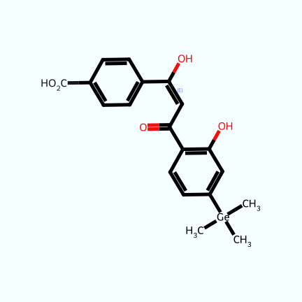 [CH3][Ge]([CH3])([CH3])[c]1ccc(C(=O)/C=C(/O)c2ccc(C(=O)O)cc2)c(O)c1